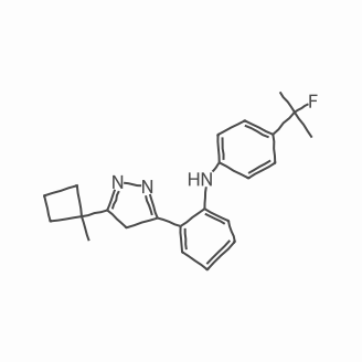 CC1(C2=NN=C(c3ccccc3Nc3ccc(C(C)(C)F)cc3)C2)CCC1